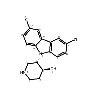 O[C@H]1CCNC[C@@H]1n1c2ccc(Cl)cc2c2cc(Cl)ccc21